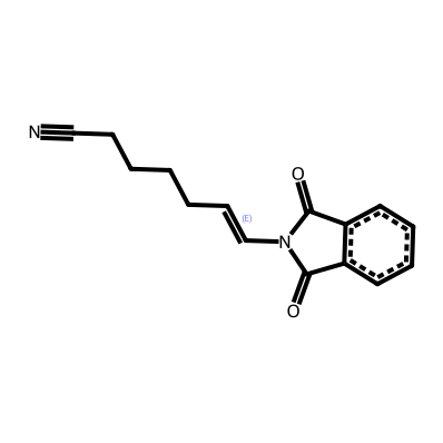 N#CCCCC/C=C/N1C(=O)c2ccccc2C1=O